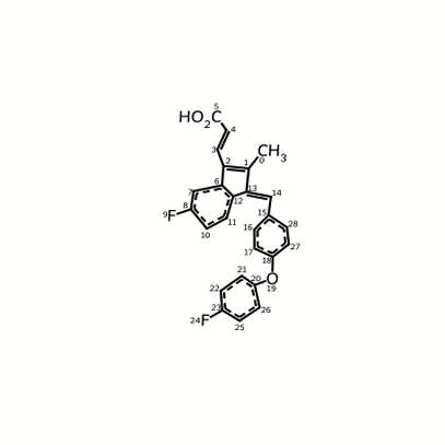 CC1=C(C=CC(=O)O)c2cc(F)ccc2/C1=C\c1ccc(Oc2ccc(F)cc2)cc1